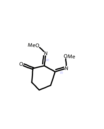 CO/N=C1/CCCC(=O)/C1=N\OC